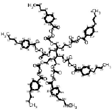 CCCCc1ccc(C(=O)OOC(=O)OCCC(COC(=O)OOC(=O)c2ccc(CCCC)cc2)C(COC(=O)OOC(=O)c2ccc(CCCC)cc2)C(COC(=O)OOC(=O)c2ccc(CCCC)cc2)C(CCOC(=O)OOC(=O)c2ccc(CCCC)cc2)COC(=O)OOC(=O)c2ccc(CCCC)cc2)cc1